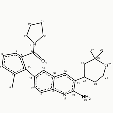 Cc1cccc(C(=O)N2CCCC2)c1-c1ccc2nc(N)c(C3CCOC(C)(C)C3)cc2c1